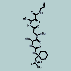 C=CCNC(=O)C(=O)C(CCCC)NC(=O)CN(CCCC)C(=O)[C@@H](NC(=O)NC1(CS(=O)(=O)C(C)(C)C)CCCCC1)C(C)(C)C